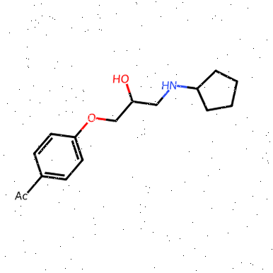 CC(=O)c1ccc(OCC(O)CNC2CCCC2)cc1